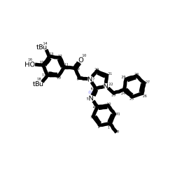 Cc1ccc(/N=c2/n(CC(=O)c3cc(C(C)(C)C)c(O)c(C(C)(C)C)c3)ccn2Cc2ccccc2)cc1